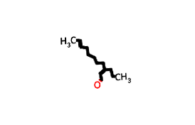 CC=CCCCCCC(=CC=O)CCC